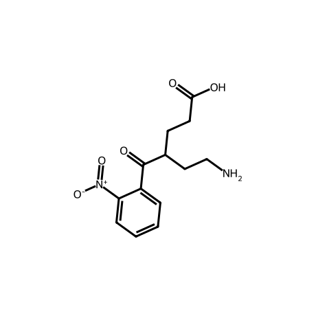 NCCC(CCC(=O)O)C(=O)c1ccccc1[N+](=O)[O-]